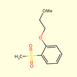 COCCOc1ccccc1S(C)(=O)=O